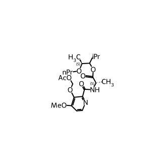 CCCO[C@@H](C)C(OC(=O)[C@H](C)NC(=O)c1nccc(OC)c1OCOC(C)=O)C(C)C